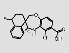 O=C(O)c1ccc2c(c1Cl)N[C@@H](F)C1(CCC(F)c3ccccc31)CO2